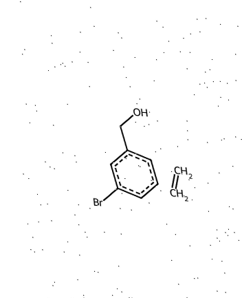 C=C.OCc1cccc(Br)c1